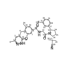 Cc1cc(Cc2ccc(C(=O)NCC(=O)N3C(c4cccc(F)c4)CC[C@@H]3C(C)(C)C#N)cc2C)c(=O)[nH]n1